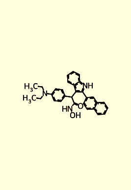 CCN(CC)c1ccc(C(C(=O)NO)c2c(-c3ccc4ccccc4c3)[nH]c3ccccc23)cc1